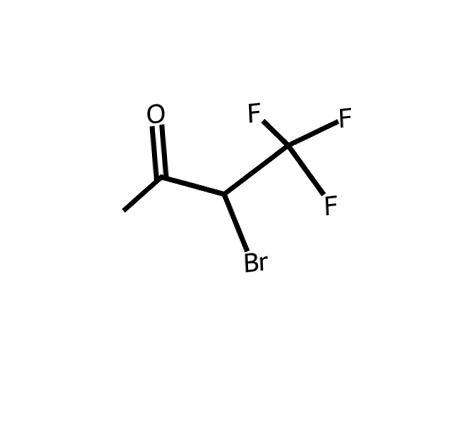 CC(=O)C(Br)C(F)(F)F